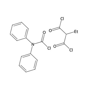 CCC(C(=O)Cl)C(=O)Cl.O=C(Cl)N(c1ccccc1)c1ccccc1